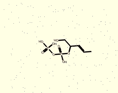 CC=CC(CO)OP(=O)(O)OP(=O)(O)O